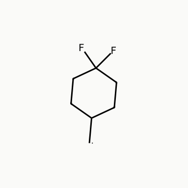 [CH2]C1CCC(F)(F)CC1